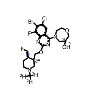 [2H]C([2H])([2H])N1CC/C(=C\F)[C@](C)(COc2nc(N3CCOC[C@@](C)(O)C3)c3cc(Cl)c(Br)c(F)c3n2)C1